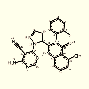 Cc1ccccc1-n1c(C2CC=NN2c2ncnc(N)c2C#N)nc2cccc(Cl)c2c1=O